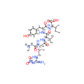 CCC(C)[C@H](NC(=O)[C@H](Cc1ccc(O)cc1)NC(=O)[C@@H](NC(=O)[C@H](CCCN/C(N)=N\[N+](=O)[O-])NC(=O)CN(C)C)C(C)C)C(=O)O